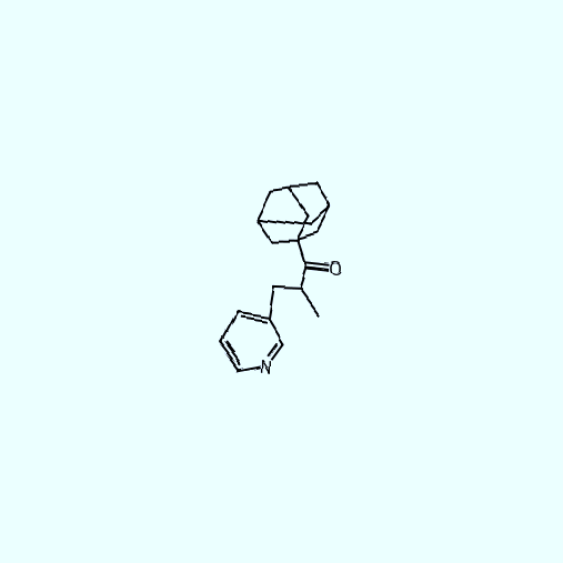 CC(Cc1cccnc1)C(=O)C12CC3CC(CC(C3)C1)C2